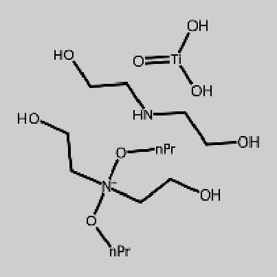 CCCO[N+](CCO)(CCO)OCCC.OCCNCCO.[O]=[Ti]([OH])[OH]